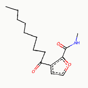 CCCCCCCCC(=O)c1ccoc1C(=O)NC